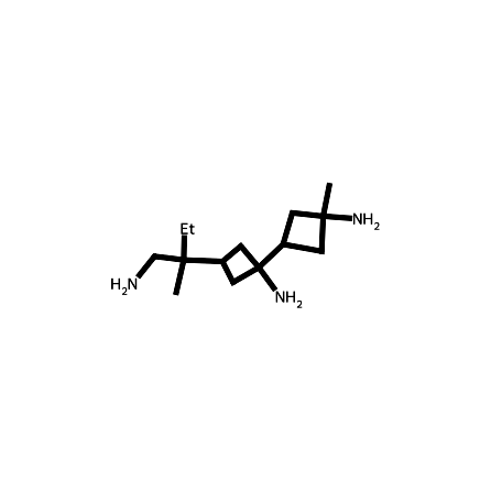 CCC(C)(CN)C1CC(N)(C2CC(C)(N)C2)C1